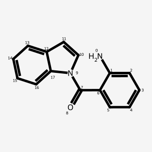 Nc1ccccc1C(=O)n1ccc2ccccc21